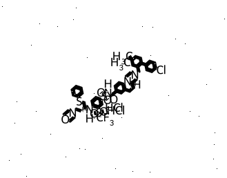 CC1(C)CCC(c2ccc(Cl)cc2)=C(CN2CCN3c4ccc(C(=O)NS(=O)(=O)c5ccc(N[C@H](CCN6CCOCC6)CSc6ccccc6)c(S(=O)(=O)C(F)(F)F)c5)cc4CC[C@@H]3C2)C1.Cl.Cl